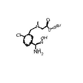 CN(CC(=O)OC(C)(C)C)Cc1cc(/C(N)=N\O)ccc1Cl